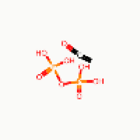 C=C=O.O=P(O)(O)OP(=O)(O)O